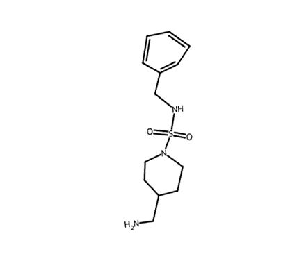 NCC1CCN(S(=O)(=O)NCc2ccccc2)CC1